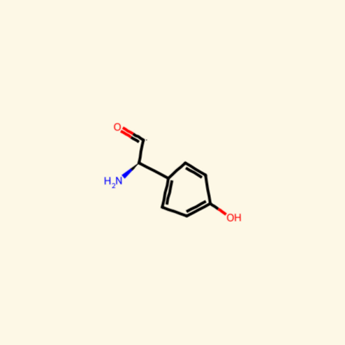 N[C@@H]([C]=O)c1ccc(O)cc1